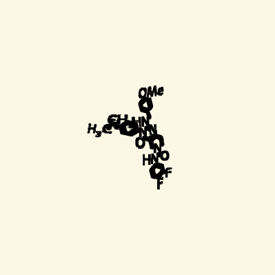 COc1ccc(CNc2nc3c(c(=O)n2-c2ccc(N(C)C)cc2)CN(C(=O)Nc2ccc(F)c(F)c2)CC3)cc1